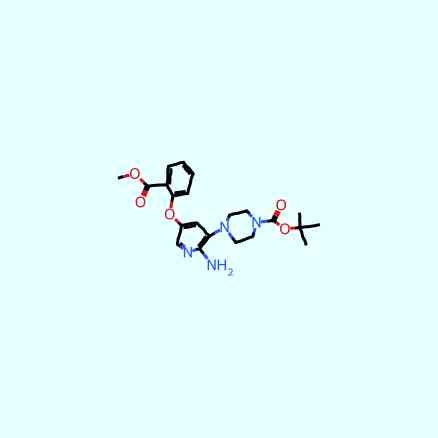 COC(=O)c1ccccc1Oc1cnc(N)c(N2CCN(C(=O)OC(C)(C)C)CC2)c1